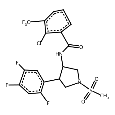 CS(=O)(=O)N1CC(NC(=O)c2cccc(C(F)(F)F)c2Cl)C(c2cc(F)c(F)cc2F)C1